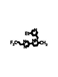 C=C1C=CC(c2cnc(CCC(F)(F)F)nc2)=NN1Cc1cncc(CC)c1